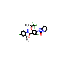 Cc1cc(F)ccc1NC(=O)c1cc(F)c(-n2nc3n(c2=O)CCCC3)cc1O[C@@H](C)C(F)(F)F